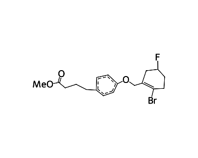 COC(=O)CCCc1ccc(OCC2=C(Br)CCC(F)C2)cc1